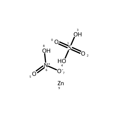 O=S(=O)(O)O.O=[N+]([O-])O.[Zn]